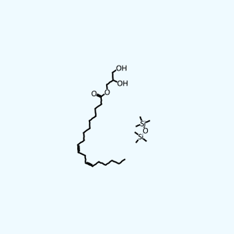 CCCCC/C=C\C/C=C\CCCCCCCC(=O)OCC(O)CO.C[Si](C)(C)O[Si](C)(C)C